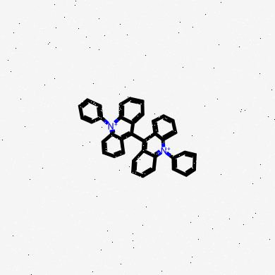 c1ccc(-[n+]2c3ccccc3c(-c3c4ccccc4[n+](-c4ccccc4)c4ccccc34)c3ccccc32)cc1